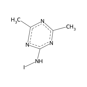 Cc1nc(C)nc(NI)n1